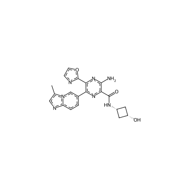 Cc1cnc2ccc(-c3nc(C(=O)N[C@H]4C[C@@H](O)C4)c(N)nc3-c3ncco3)cn12